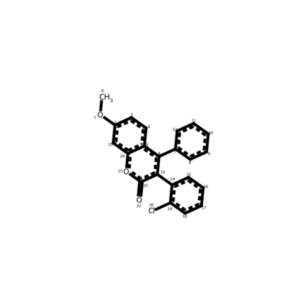 COc1ccc2c(-c3ccccc3)c(-c3ccccc3Cl)c(=O)oc2c1